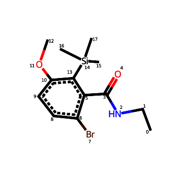 CCNC(=O)c1c(Br)ccc(OC)c1[Si](C)(C)C